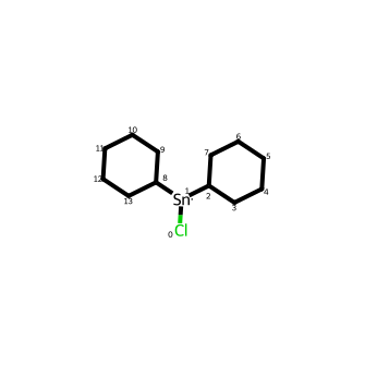 [Cl][Sn]([CH]1CCCCC1)[CH]1CCCCC1